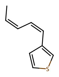 C/C=C\C=C/c1ccsc1